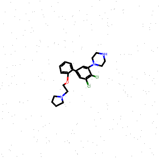 Clc1cc(-c2ccccc2OCCN2CCCC2)cc(N2CCNCC2)c1Cl